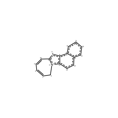 C1=CC[n+]2c(sc3c4ccccc4ccc32)C=C1